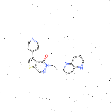 O=c1c2c(-c3ccncc3)csc2cnn1CCc1ccc2ncccc2n1